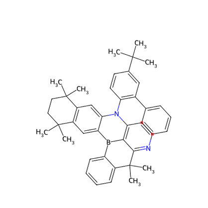 CC(C)(C)c1ccc(N2c3cc4c(cc3B3c5ccccc5C(C)(C)c5nccc2c53)C(C)(C)CCC4(C)C)c(-c2ccccc2)c1